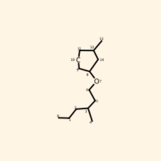 CCCC(C)CCOC1CCCC(C)C1